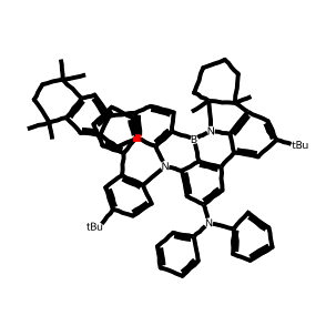 CC(C)(C)c1ccc(N2c3cc(N(c4ccccc4)c4ccccc4)cc4c3B(c3ccc5c(c32)Cc2cc3c(cc2-5)C(C)(C)CCC3(C)C)N2c3c-4cc(C(C)(C)C)cc3C3(C)CCCCC23C)c(-c2ccccc2)c1